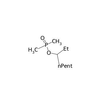 CCCCCC(CC)OP(C)(C)=O